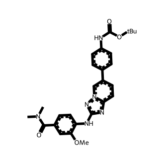 COc1cc(C(=O)N(C)C)ccc1Nc1nc2ccc(-c3ccc(NC(=O)OC(C)(C)C)cc3)cn2n1